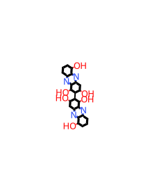 Oc1cc2nc3c(O)cccc3nc2c(O)c1-c1c(O)cc2nc3c(O)cccc3nc2c1O